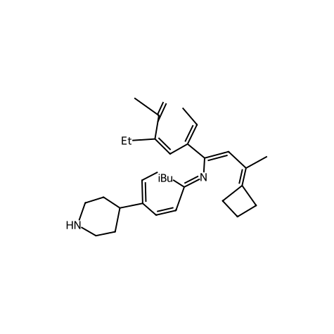 C=C(C)\C(=C/C(=C\C)C(=C/C(C)=C1CCC1)/N=C(/C=C\C(=C/C)C1CCNCC1)C(C)CC)CC